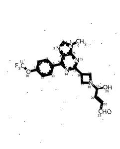 Cn1cnc2c(-c3ccc(OC(F)(F)F)cc3)nc(C3CN([C@@H](O)/C=C/C=O)C3)nc21